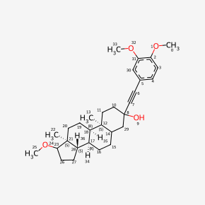 COc1ccc(C#CC2(O)CC[C@@]3(C)C(CC[C@@H]4[C@H]3CC[C@]3(C)C(OC)CC[C@@H]43)C2)cc1OC